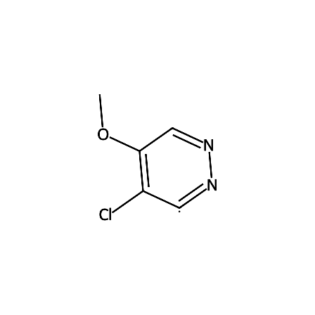 COc1cnn[c]c1Cl